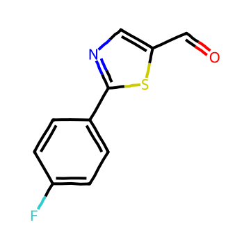 O=Cc1cnc(-c2ccc(F)cc2)s1